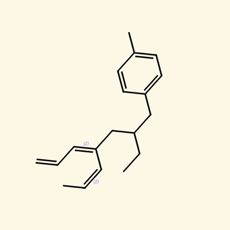 C=C/C=C(\C=C/C)CC(CC)Cc1ccc(C)cc1